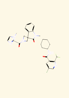 Cn1ccnc1C(=O)N1CC2(C1)C(=O)N(C[C@H]1CC[C@H](NC(=O)c3cc(Cl)cnc3C(F)F)CC1)c1ccccc12